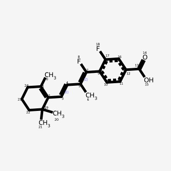 CC1=C(/C=C/C(C)=C(\F)c2ccc(C(=O)O)cc2F)C(C)(C)CCC1